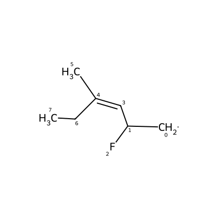 [CH2]C(F)C=C(C)CC